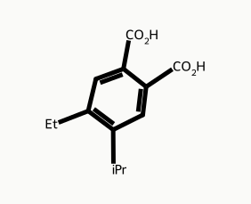 CCc1cc(C(=O)O)c(C(=O)O)cc1C(C)C